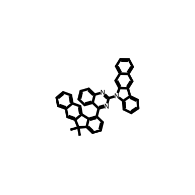 CC1(C)c2cc3ccccc3cc2-c2c(-c3nc(-n4c5ccccc5c5cc6ccccc6cc54)nc4ccccc34)cccc21